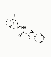 O=C(N[C@@H]1C[C@@H]2CCN(C2)C1)c1cc2ccncc2s1